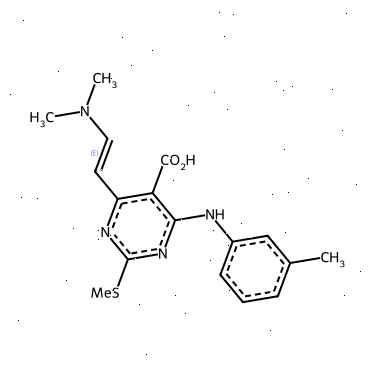 CSc1nc(/C=C/N(C)C)c(C(=O)O)c(Nc2cccc(C)c2)n1